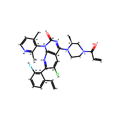 C=CC(=[18O])N1CCN(c2nc(=O)n(-c3c(C)ccnc3C(C)C)c3nc(-c4c(F)cccc4C=C)c(Cl)cc23)[C@@H](C)C1